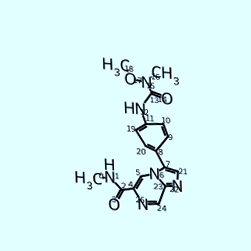 CNC(=O)c1cn2c(-c3ccc(NC(=O)N(C)OC)cc3)cnc2cn1